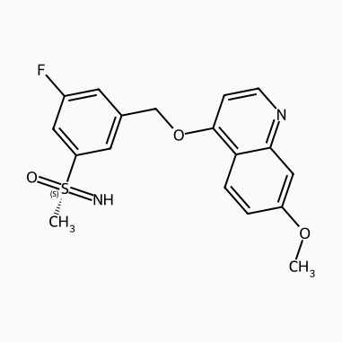 COc1ccc2c(OCc3cc(F)cc([S@@](C)(=N)=O)c3)ccnc2c1